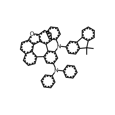 CC1(C)c2ccccc2-c2cc(N(c3ccccc3)c3cc(N(c4ccccc4)c4ccccc4)cc4c3-c3cccc5oc6ccc7cccc-4c7c6c35)ccc21